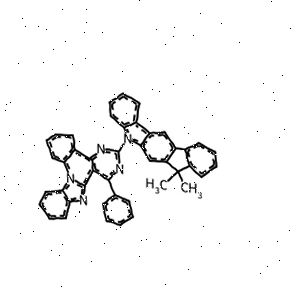 CC1(C)c2ccccc2-c2cc3c4ccccc4n(-c4nc(-c5ccccc5)c5c(n4)c4ccccc4n4c6ccccc6nc54)c3cc21